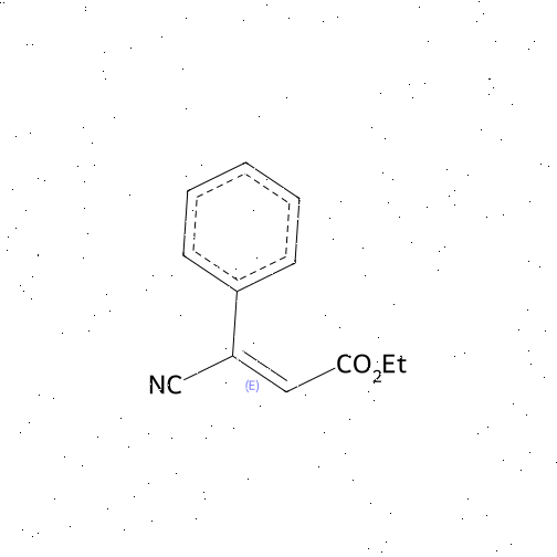 CCOC(=O)/C=C(/C#N)c1ccccc1